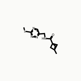 CSc1ncc(CNC(=O)C23CC(C)(C2)C3)nn1